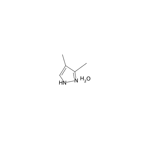 Cc1c[nH]nc1C.O